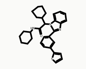 O=C(NC1CCCCC1)C(C1CCCCC1)n1c(-c2cccc(-c3cccs3)c2)nc2ccccc21